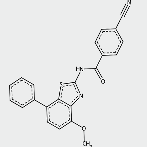 COc1ccc(-c2ccccc2)c2sc(NC(=O)c3ccc(C#N)cc3)nc12